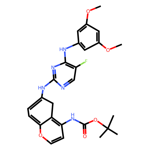 COc1cc(Nc2nc(NC3=CC=C4OC=CC(NC(=O)OC(C)(C)C)=C4C3)ncc2F)cc(OC)c1